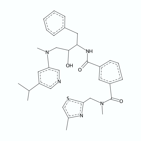 Cc1csc(CN(C)C(=O)c2cccc(C(=O)NC(Cc3ccccc3)C(O)CN(C)c3cncc(C(C)C)c3)c2)n1